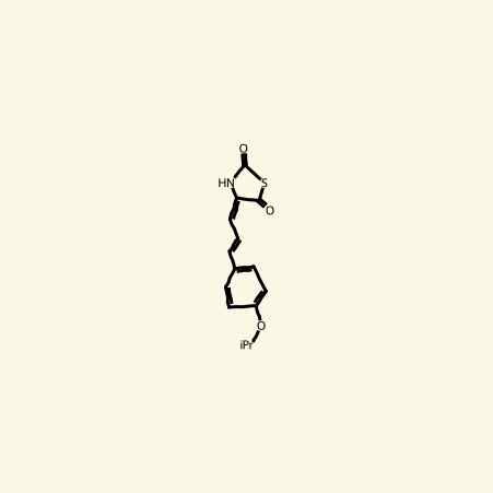 CC(C)Oc1ccc(C=CC=C2NC(=O)SC2=O)cc1